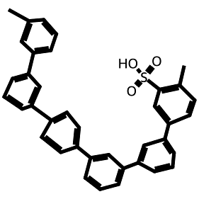 Cc1cccc(-c2cccc(-c3ccc(-c4cccc(-c5cccc(-c6ccc(C)c(S(=O)(=O)O)c6)c5)c4)cc3)c2)c1